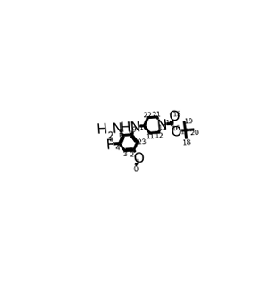 COc1cc(F)c(N)c(NC2CCN(C(=O)OC(C)(C)C)CC2)c1